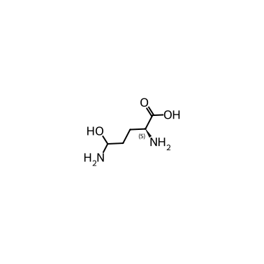 NC(O)CC[C@H](N)C(=O)O